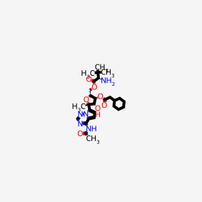 CC(=O)Nc1ncnn2c([C@]3(C)O[C@H](COC(=O)[C@@H](N)C(C)(C)C)[C@@H](OC(=O)CC4CCCCC4)[C@H]3O)ccc12